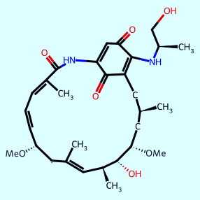 CO[C@H]1C[C@H](C)CC2=C(N[C@H](C)CO)C(=O)C=C(NC(=O)/C(C)=C/C=C\[C@@H](OC)[CH]/C(C)=C/[C@H](C)[C@H]1O)C2=O